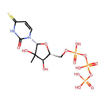 CC1(O)C(O)[C@@H](COP(=O)(O)OP(=O)(O)OP(=O)(O)O)O[C@H]1n1ccc(=S)[nH]c1=O